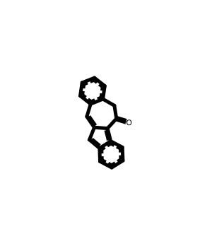 O=C1Cc2ccccc2C=C2C=c3ccccc3=C12